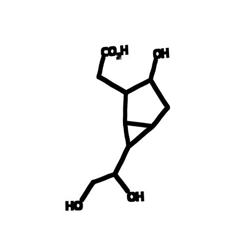 O=C(O)CC1C(O)CC2C(C(O)CO)C12